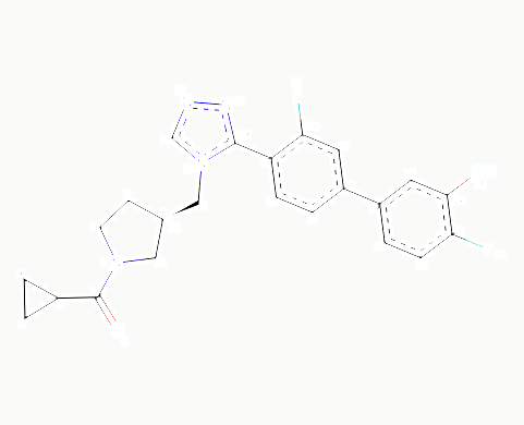 O=C(C1CC1)N1CC[C@@H](Cn2cnnc2-c2ccc(-c3ccc(F)c(O)c3)cc2F)C1